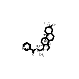 C[C@H](NC(=O)c1cccnc1)[C@H]1CC[C@H]2[C@@H]3CCC4C[C@](C)(O)CC[C@@H]4[C@H]3CC[C@]12C